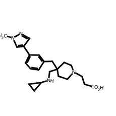 Cn1cc(-c2cccc(CC3(CNC4CC4)CCN(CCC(=O)O)CC3)c2)cn1